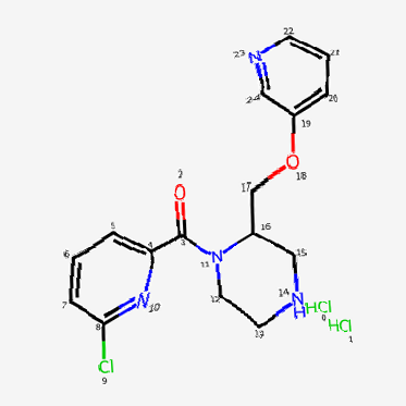 Cl.Cl.O=C(c1cccc(Cl)n1)N1CCNCC1COc1cccnc1